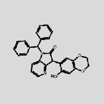 O=C1C(c2cc3c(cc2O)OCCO3)c2ncccc2N1C(c1ccccc1)c1ccccc1